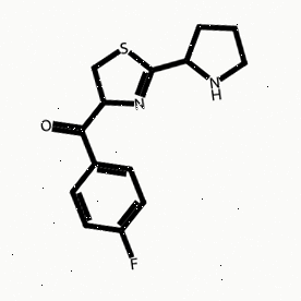 O=C(c1ccc(F)cc1)C1CSC(C2CCCN2)=N1